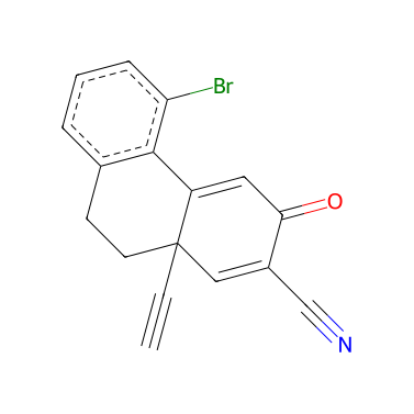 C#CC12C=C(C#N)C(=O)C=C1c1c(Br)cccc1CC2